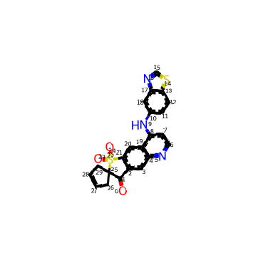 O=C1c2cc3nccc(Nc4ccc5scnc5c4)c3cc2S(=O)(=O)C12CC=CC2